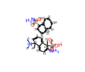 CN(C)C1(C)C=CC=C2C1=CC=C(N)C2(C)S(=O)(=O)O.NS(=O)(=O)c1cccc2ccccc12